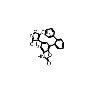 Cc1noc(C)c1-c1cc(-c2ccccc2-c2ccccc2)c2oc(=O)[nH]c2c1